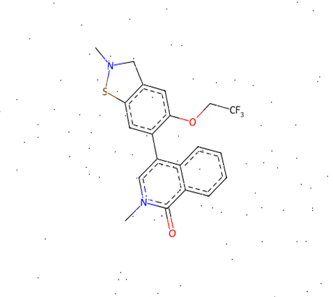 CN1Cc2cc(OCC(F)(F)F)c(-c3cn(C)c(=O)c4ccccc34)cc2S1